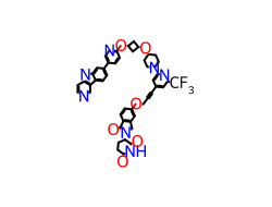 Cn1c2ccncc2c2ccc(-c3ccc(O[C@H]4C[C@H](OC5CCN(c6cc(C#CCOc7ccc8c(c7)CN(C7CCC(=O)NC7=O)C8=O)cc(C(F)(F)F)n6)CC5)C4)nc3)cc21